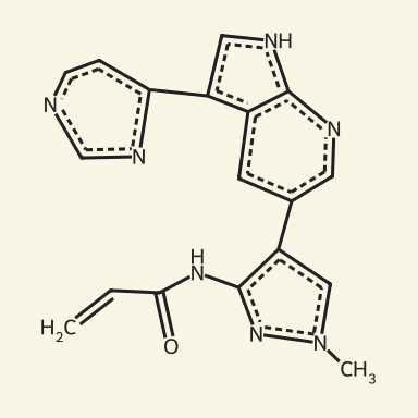 C=CC(=O)Nc1nn(C)cc1-c1cnc2[nH]cc(-c3ccncn3)c2c1